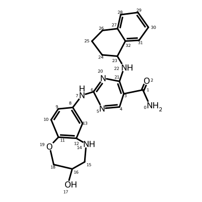 NC(=O)c1cnc(Nc2ccc3c(c2)NCC(O)CO3)nc1NC1CCCc2ccccc21